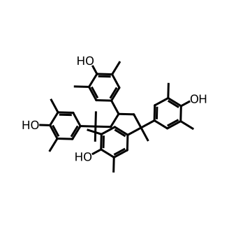 Cc1cc(C(CC(C)(C)c2cc(C)c(O)c(C)c2)CC(C)(c2cc(C)c(O)c(C)c2)c2cc(C)c(O)c(C)c2)cc(C)c1O